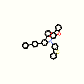 c1ccc(-c2ccc(-c3ccc(N(c4ccc5c(c4)oc4ccccc45)c4ccc5sc6ccccc6c5c4)c(-c4ccccc4)c3)cc2)cc1